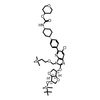 CC(C)(C)[Si](C)(C)O[C@@H]1CO[C@H]2[C@@H]1OC[C@H]2Oc1nc2cc(Cl)c(-c3ccc([C@H]4CC[C@@H](NC(=O)OC5CCOCC5)CC4)cc3)nc2n1COCC[Si](C)(C)C